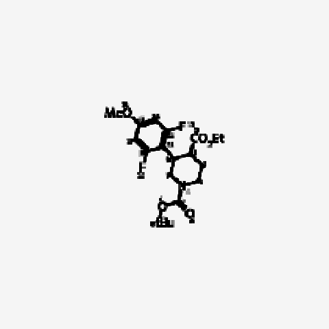 CCOC(=O)C1CCN(C(=O)OC(C)(C)C)C[C@H]1c1c(F)cc(OC)cc1F